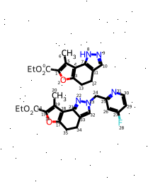 CCOC(=O)c1oc2c(c1C)-c1[nH]ncc1CC2.CCOC(=O)c1oc2c(c1C)-c1nn(Cc3cc(F)ccn3)cc1CC2